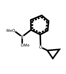 COB(OC)c1ccccc1OC1CC1